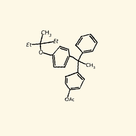 CCC(C)(CC)Oc1ccc(C(C)(c2ccccc2)c2ccc(OC(C)=O)cc2)cc1